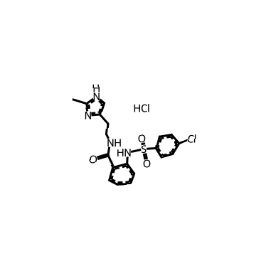 Cc1nc(CCNC(=O)c2ccccc2NS(=O)(=O)c2ccc(Cl)cc2)c[nH]1.Cl